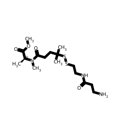 COC(=O)[C@H](C)N(C)C(=O)CCC(C)(C)SSCCNC(=O)CCN